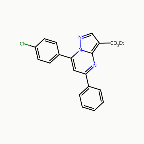 CCOC(=O)c1cnn2c(-c3ccc(Cl)cc3)cc(-c3ccccc3)nc12